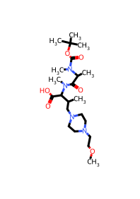 COCCN1CCN(CC(C)C(C(=O)O)N(C)C(=O)C(C)N(C)C(=O)OC(C)(C)C)CC1